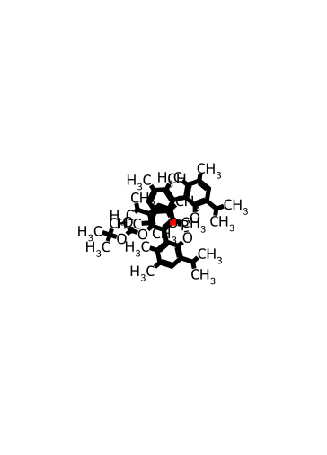 Cc1cc(C(C)C)c(OC(=O)OC(C)(C)C)c(-c2c(C)c(C)cc(C(C)C)c2Op2oc3c(C(C)C)cc(C)c(C)c3c3c(C)c(C)cc(C(C)C)c3o2)c1C